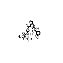 C[C@H](Nc1nc(C(=O)N2CC(NC(=O)C(C)(C)C)C2)c2sccc2n1)c1cncc(Cl)c1